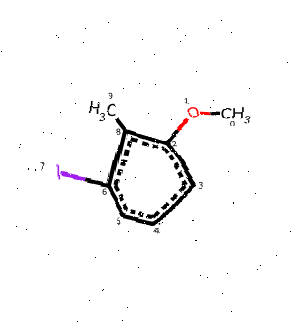 COc1c[c]cc(I)c1C